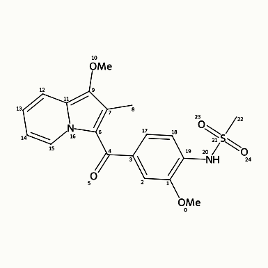 COc1cc(C(=O)c2c(C)c(OC)c3ccccn23)ccc1NS(C)(=O)=O